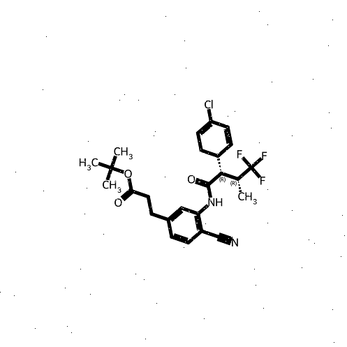 C[C@H]([C@H](C(=O)Nc1cc(CCC(=O)OC(C)(C)C)ccc1C#N)C1C=CC(Cl)=CC1)C(F)(F)F